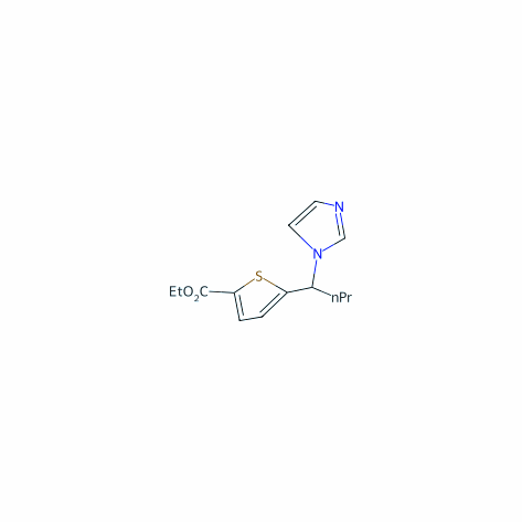 CCCC(c1ccc(C(=O)OCC)s1)n1ccnc1